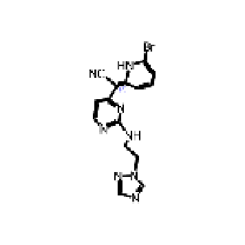 N#C/C(=C1/C=CC=C(Br)N1)c1ccnc(NCCn2cncn2)n1